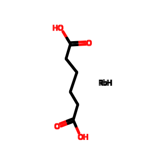 O=C(O)CCCCC(=O)O.[RbH]